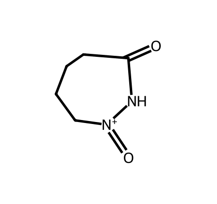 O=C1CCCC[N+](=O)N1